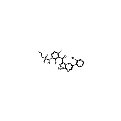 CCCS(=O)(=O)Nc1ccc(F)c(C(=O)c2n[nH]c3ncc(-c4ccccc4O)cc23)c1F